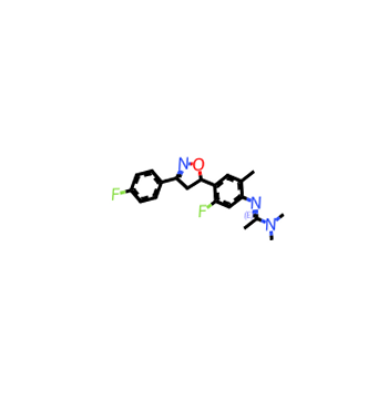 C/C(=N\c1cc(F)c(C2CC(c3ccc(F)cc3)=NO2)cc1C)N(C)C